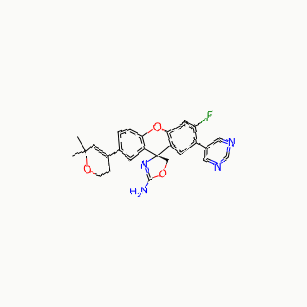 CC1(C)C=C(c2ccc3c(c2)[C@]2(COC(N)=N2)c2cc(-c4cncnc4)c(F)cc2O3)CCO1